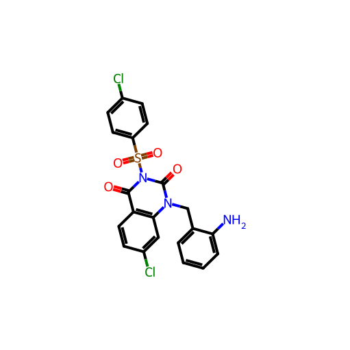 Nc1ccccc1Cn1c(=O)n(S(=O)(=O)c2ccc(Cl)cc2)c(=O)c2ccc(Cl)cc21